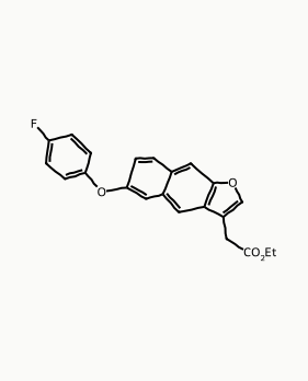 CCOC(=O)Cc1coc2cc3ccc(Oc4ccc(F)cc4)cc3cc12